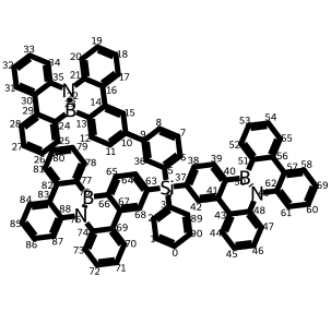 c1ccc([Si](c2cccc(-c3ccc4c(c3)-c3ccccc3N3B4c4ccccc4-c4ccccc43)c2)(c2ccc3c(c2)-c2ccccc2N2B3c3ccccc3-c3ccccc32)c2ccc3c(c2)-c2ccccc2N2B3c3ccccc3-c3ccccc32)cc1